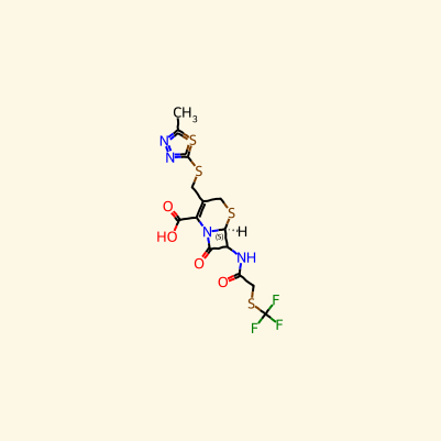 Cc1nnc(SCC2=C(C(=O)O)N3C(=O)C(NC(=O)CSC(F)(F)F)[C@@H]3SC2)s1